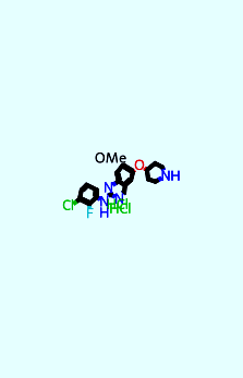 COc1cc2nc(Nc3cccc(Cl)c3F)ncc2cc1OC1CCNCC1.Cl.Cl